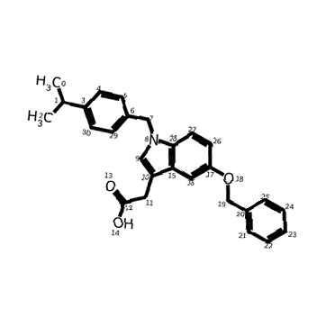 CC(C)c1ccc(Cn2cc(CC(=O)O)c3cc(OCc4ccccc4)ccc32)cc1